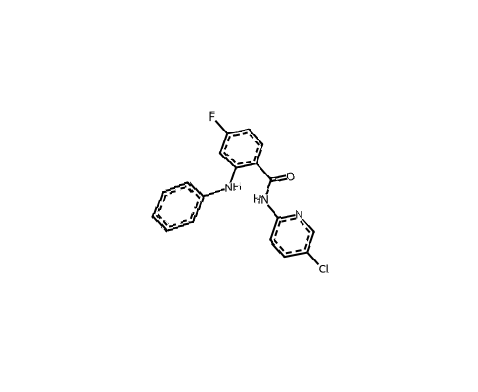 O=C(Nc1ccc(Cl)cn1)c1ccc(F)cc1Nc1ccccc1